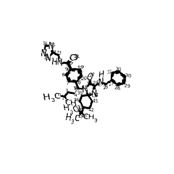 CC(C)CC[C@H](c1ccc(C(=O)NCC2=NCN=N2)cc1)N1C(=O)C(NCc2ccccc2)=NC12CCC(C(C)(C)C)CC2